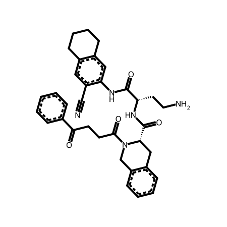 N#Cc1cc2c(cc1NC(=O)[C@H](CCN)NC(=O)[C@@H]1Cc3ccccc3CN1C(=O)CCC(=O)c1ccccc1)CCCC2